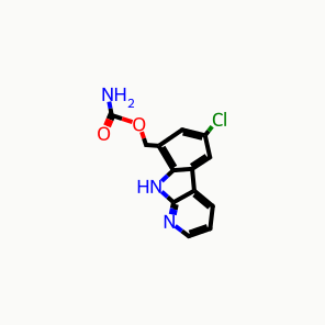 NC(=O)OCc1cc(Cl)cc2c1[nH]c1ncccc12